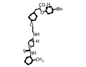 Cc1ccccc1NC(=S)N1CC2[C@H](C1)[C@H]2NCCOc1ccc(C[C@H](Oc2ccc(C(C)(C)C)cc2)C(=O)O)cc1